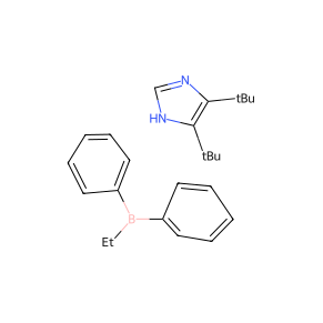 CC(C)(C)c1nc[nH]c1C(C)(C)C.CCB(c1ccccc1)c1ccccc1